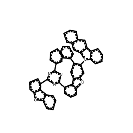 c1ccc(-c2nc(-c3cccc4oc5ccccc5c34)nc(-c3cccc4oc5cc(-n6c7ccccc7c7cc8ccccc8cc76)c(-c6ccccc6)cc5c34)n2)cc1